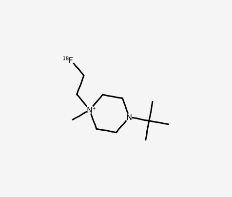 CC(C)(C)N1CC[N+](C)(CC[18F])CC1